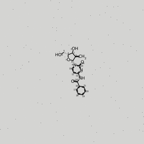 C=C1C(O)[C@@H](CO)O[C@H]1n1ccc(NC(=O)c2ccccc2)nc1=O